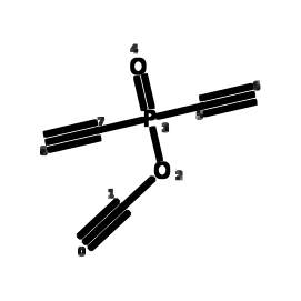 C#COP(=O)(C#C)C#C